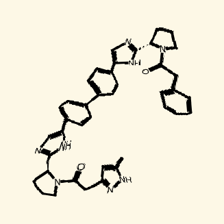 Cc1cc(CC(=O)N2CCC[C@H]2c2ncc(-c3ccc(-c4ccc(-c5cnc([C@@H]6CCCN6C(=O)Cc6ccccc6)[nH]5)cc4)cc3)[nH]2)n[nH]1